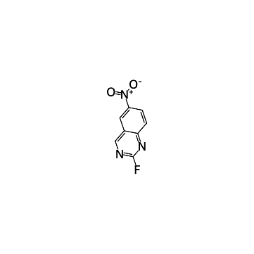 O=[N+]([O-])c1ccc2nc(F)ncc2c1